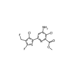 COC(=O)c1nc(-c2sc(F)c(CF)c2Cl)cc(N)c1Cl